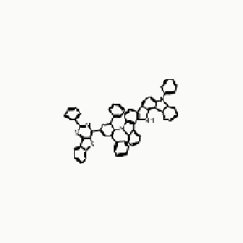 c1ccc(-c2nc(-c3cc(-c4ccccc4)c(-n4c5ccccc5c5c6[nH]c7c(ccc8c7c7ccccc7n8-c7ccccc7)c6ccc54)c(-c4ccccc4)c3)c3sc4ccccc4c3n2)cc1